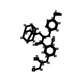 COc1ccc(CN(CC23CC4CC(CC(C4)C2)C3)C(=O)c2cc(C[C@H](O)CCl)ccc2Cl)cc1